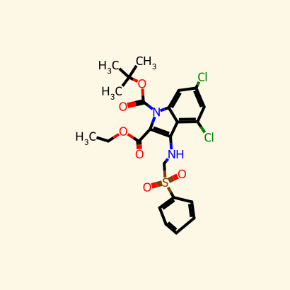 CCOC(=O)c1c(NCS(=O)(=O)c2ccccc2)c2c(Cl)cc(Cl)cc2n1C(=O)OC(C)(C)C